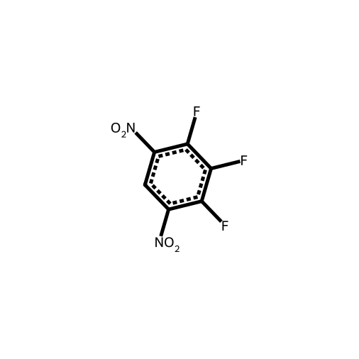 O=[N+]([O-])c1cc([N+](=O)[O-])c(F)c(F)c1F